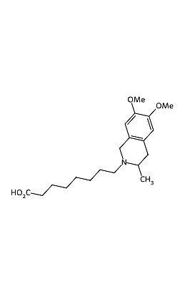 COc1cc2c(cc1OC)CN(CCCCCCCC(=O)O)C(C)C2